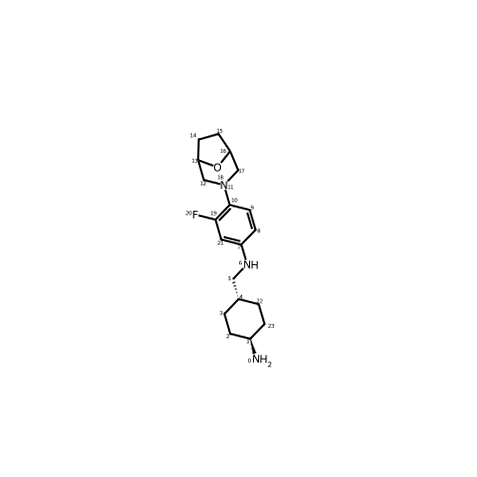 N[C@H]1CC[C@H](CNc2ccc(N3CC4CCC(C3)O4)c(F)c2)CC1